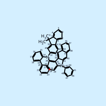 CC1(C)c2ccccc2-c2ccc(N(c3ccccc3-c3ccccc3)c3cccc4c3c3cc5ccccc5cc3n4-c3ccccc3)cc21